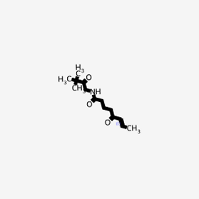 C/C=C/C(=O)CCCC(=O)NCC(=O)C(C)(C)C